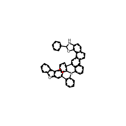 c1ccc(C2Nc3ccc4ccc5ccc(-c6ccccc6N(c6ccccc6)c6ccccc6-c6ccc7c(c6)oc6ccccc67)cc5c4c3O2)cc1